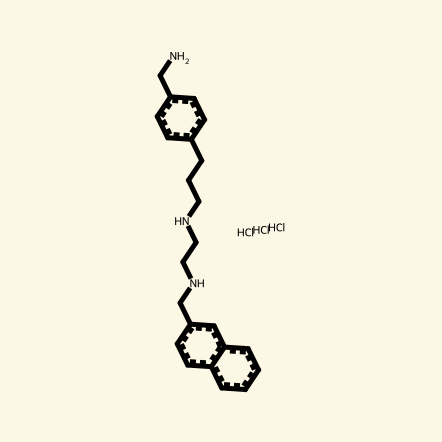 Cl.Cl.Cl.NCc1ccc(CCCNCCNCc2ccc3ccccc3c2)cc1